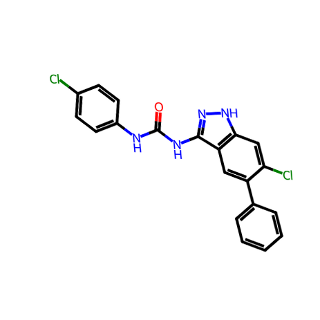 O=C(Nc1ccc(Cl)cc1)Nc1n[nH]c2cc(Cl)c(-c3ccccc3)cc12